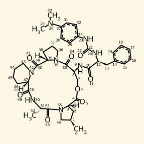 C[C@@H]1C[C@H]2C(=O)OC[C@H](NC(=O)[C@H](Cc3ccccc3)NC(=O)Nc3ccc(N(C)C)cc3)C(=O)N3CCC[C@H]3C(=O)N3CCCC[C@H]3C(=O)N[C@@H](C)C(=O)N2C1